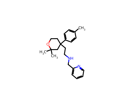 Cc1ccc(C2(CCNCc3ccccn3)CCOC(C)(C)C2)cc1